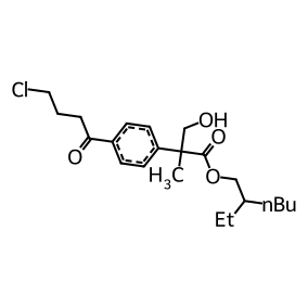 CCCCC(CC)COC(=O)C(C)(CO)c1ccc(C(=O)CCCCl)cc1